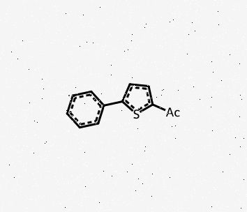 CC(=O)c1ccc(-c2c[c]ccc2)s1